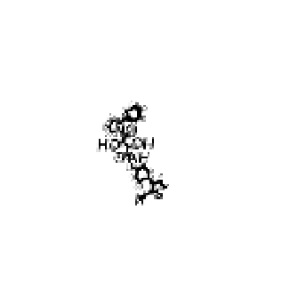 N#Cc1sccc1-c1ccc(CNC(=O)C(O)C(O)C(=O)N2CCCC2c2ccccc2)cc1